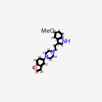 COc1ccc2[nH]cc(CCN3CCN(c4ccc5occc5c4)CC3)c2c1